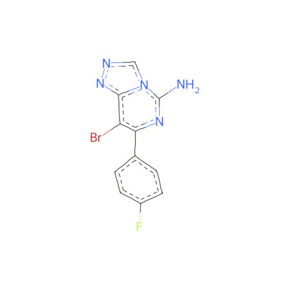 Nc1nc(-c2ccc(F)cc2)c(Br)c2nncn12